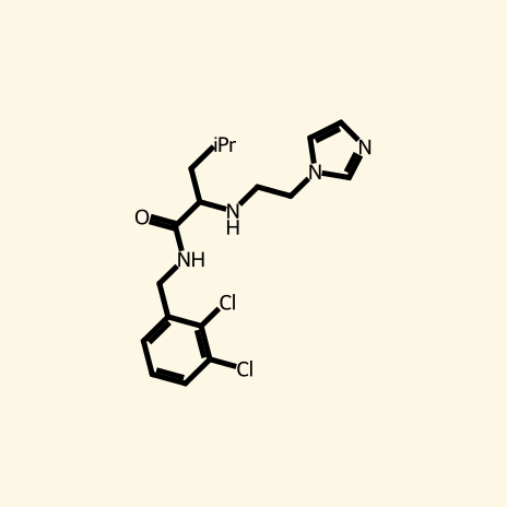 CC(C)CC(NCCn1ccnc1)C(=O)NCc1cccc(Cl)c1Cl